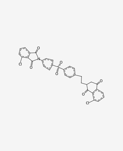 O=C1CC(CCc2ccc(S(=O)(=O)c3ccc(N4C(=O)c5cccc(Cl)c5C4=O)cc3)cc2)C(=O)c2c(Cl)cccc21